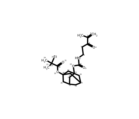 C=C(C)C(=O)CCNC(=O)OC12CC3CC(C1)CC(OC(=O)C(C)(C)CC)(C3)C2